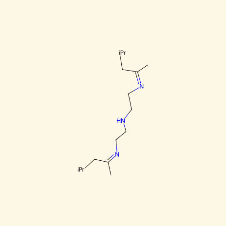 C/C(CC(C)C)=N/CCNCC/N=C(/C)CC(C)C